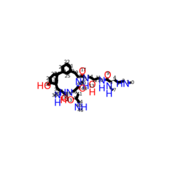 CNCCC[C@H](NC)C(=O)NCC(O)CNC(=O)[C@@H]1Cc2cccc(c2)-c2ccc(O)c(c2)C[C@H](NC)C(=O)N[C@@H](C[C@@H](O)CNC)C(=O)N1C